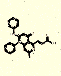 Cc1cc2c(c(/C=C/C(=O)O)n1)c(=O)cc(Nc1ccccc1)n2-c1ccccc1